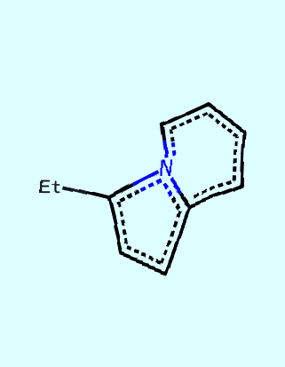 CCc1ccc2ccccn12